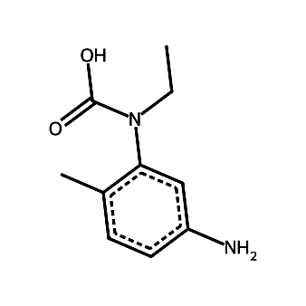 CCN(C(=O)O)c1cc(N)ccc1C